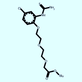 CC(C)(C)OC(=O)COCCOCCOc1ccc(Cl)cc1NC(N)=S